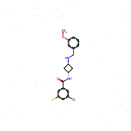 O=C(N[C@H]1C[C@H](NCc2cccc(OC(F)(F)F)c2)C1)c1cc(F)cc(Cl)c1